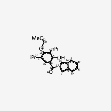 CCCc1c(O)c(C(=O)n2cc3ccccc3c2)cc(C(C)C)c1OCOC